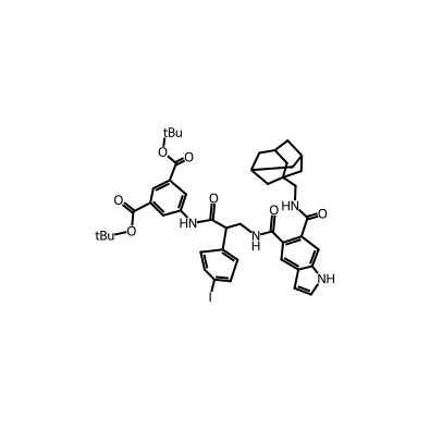 CC(C)(C)OC(=O)c1cc(NC(=O)C(CNC(=O)c2cc3cc[nH]c3cc2C(=O)NCC23CC4CC(CC(C4)C2)C3)c2ccc(I)cc2)cc(C(=O)OC(C)(C)C)c1